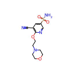 N#Cc1cc(S(N)(=O)=O)cnc1OCCN1CCOCC1